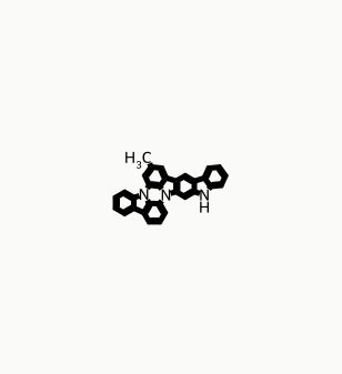 Cc1cc2c3cc4c(cc3n3c5cccc6c7ccccc7n(c(c1)c23)c65)[nH]c1ccccc14